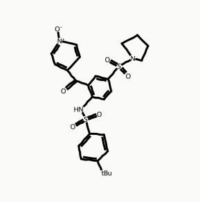 CC(C)(C)c1ccc(S(=O)(=O)Nc2ccc(S(=O)(=O)N3CCCC3)cc2C(=O)c2cc[n+]([O-])cc2)cc1